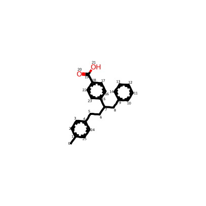 Cc1ccc(CCC(Cc2ccccc2)c2ccc(C(=O)O)cc2)cc1